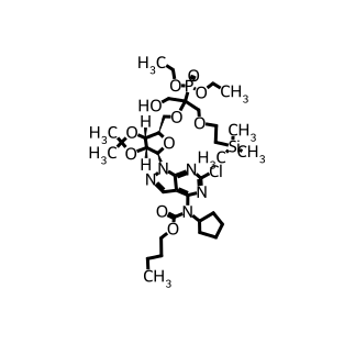 CCCCOC(=O)N(c1nc(Cl)nc2c1cnn2[C@@H]1O[C@H](COC(CO)(COCC[Si](C)(C)C)P(=O)(OCC)OCC)[C@H]2OC(C)(C)O[C@H]21)C1CCCC1